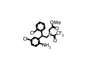 COC(=O)CN(CC(c1cc(Cl)ccc1N)c1ccccc1Cl)C(=O)C(F)(F)F